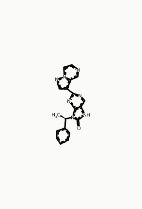 C[C@H](c1ccccc1)n1c(=O)[nH]c2cnc(-c3cnn4ccncc34)nc21